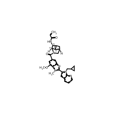 C=CC(=O)N[C@H]1C2C[C@@H]3CN(C(=O)c4cc(OC)c5c(c4)nc(-c4cc6cccnc6n4CC4CC4)n5C)[C@H]1[C@H]23